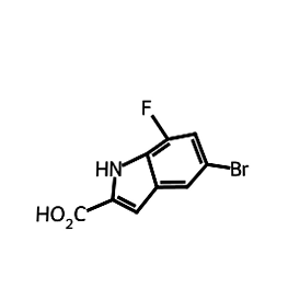 O=C(O)c1cc2cc(Br)cc(F)c2[nH]1